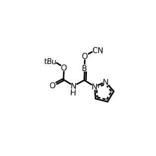 CC(C)(C)OC(=O)NC(=BOC#N)n1cccn1